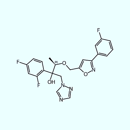 C[C@@H](OCc1cc(-c2cccc(F)c2)no1)C(O)(Cn1cncn1)c1ccc(F)cc1F